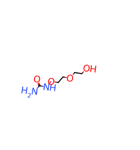 NC(=O)NOCCOCCO